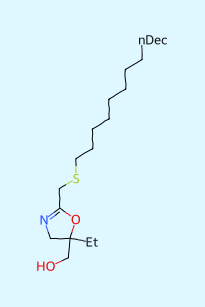 CCCCCCCCCCCCCCCCCCSCC1=NCC(CC)(CO)O1